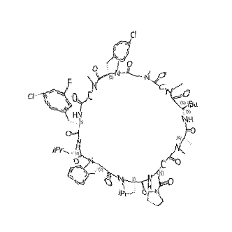 CC[C@H](C)[C@@H]1NC(=O)[C@H](C)N(C)C(=O)C[C@@H](C(=O)N2CCCC2)NC(=O)[C@H](CC(C)C)N(C)C(=O)[C@H](Cc2ccccc2)N(C)C(=O)[C@H](CC(C)C)NC(=O)[C@H](Cc2cc(F)cc(Cl)c2)NC(=O)CN(C)C(=O)[C@H](Cc2ccc(Cl)cc2)N(C)C(=O)CN(C)C(=O)CN(C)C1=O